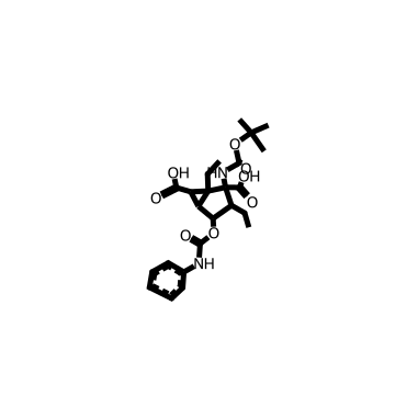 CCC1C(OC(=O)Nc2ccccc2)C2C(C(=O)O)C2(CC)C1(NC(=O)OC(C)(C)C)C(=O)O